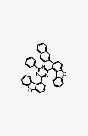 c1ccc(-c2nc(-c3cccc4oc5ccccc5c34)nc(-c3c(-c4ccc5ccccc5c4)ccc4oc5ccccc5c34)n2)cc1